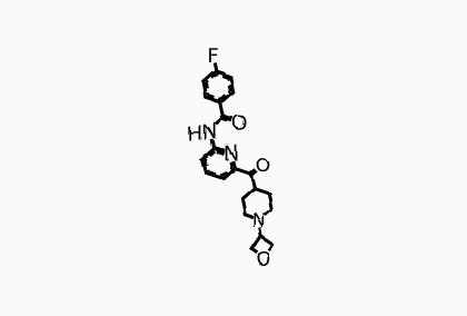 O=C(Nc1cccc(C(=O)C2CCN(C3COC3)CC2)n1)c1ccc(F)cc1